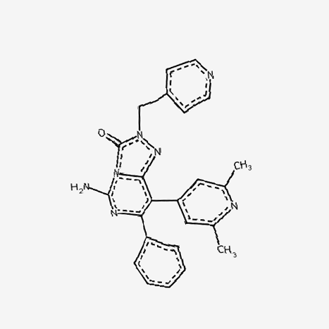 Cc1cc(-c2c(-c3ccccc3)nc(N)n3c(=O)n(Cc4ccncc4)nc23)cc(C)n1